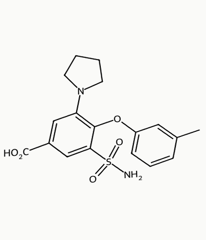 Cc1cccc(Oc2c(N3CCCC3)cc(C(=O)O)cc2S(N)(=O)=O)c1